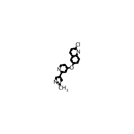 Cn1cc(-c2cc(Oc3ccc4nc(Cl)ccc4c3)ccn2)cn1